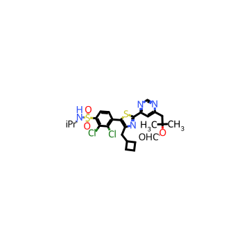 CC(C)NS(=O)(=O)c1ccc(-c2sc(-c3cc(CC(C)(C)OC=O)ncn3)nc2CC2CCC2)c(Cl)c1Cl